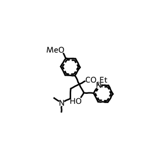 CCOC(=O)C(CCN(C)C)(c1ccc(OC)cc1)C(O)c1ccccn1